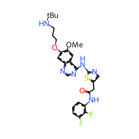 [CH2]C(C)(C)NCCCOc1cc2ncnc(Nc3ncc(CC(=O)Nc4cccc(F)c4F)s3)c2cc1OC